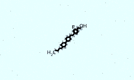 C=CCCCC1CCC(C2CCC(CCc3ccc(CCO)c(F)c3)CC2)CC1